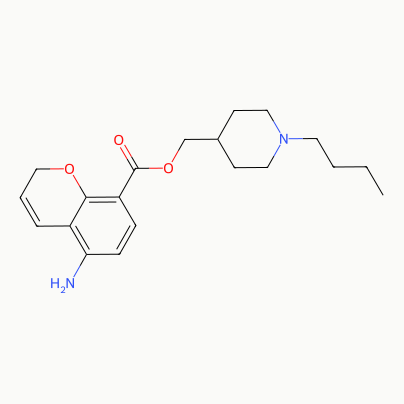 CCCCN1CCC(COC(=O)c2ccc(N)c3c2OCC=C3)CC1